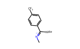 C/N=C(\NC)c1ccc(C(F)(F)F)cc1